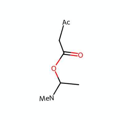 CNC(C)OC(=O)CC(C)=O